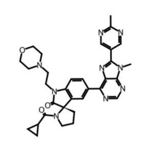 Cc1ncc(-c2nc3c(-c4ccc5c(c4)[C@@]4(CCCN4C(=O)C4CC4)C(=O)N5CCN4CCOCC4)ncnc3n2C)cn1